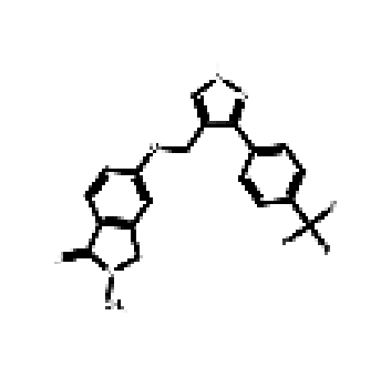 CN1Cc2cc(OCc3c[nH]nc3-c3ccc(C(F)(F)F)cc3)ccc2C1=O